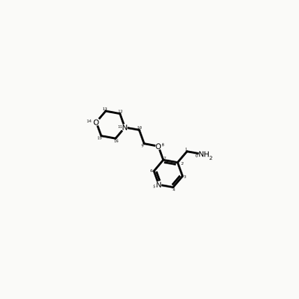 NCc1ccncc1OCCN1CCOCC1